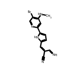 CNc1cc(-c2ccc(/C=C(/C#N)C=N)[nH]2)ncc1Br